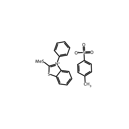 CSc1sc2ccccc2[n+]1-c1ccccc1.Cc1ccc(S(=O)(=O)[O-])cc1